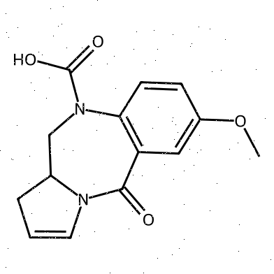 COc1ccc2c(c1)C(=O)N1C=CCC1CN2C(=O)O